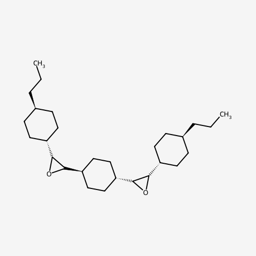 CCC[C@H]1CC[C@H](C2OC2[C@H]2CC[C@H](C3OC3[C@H]3CC[C@H](CCC)CC3)CC2)CC1